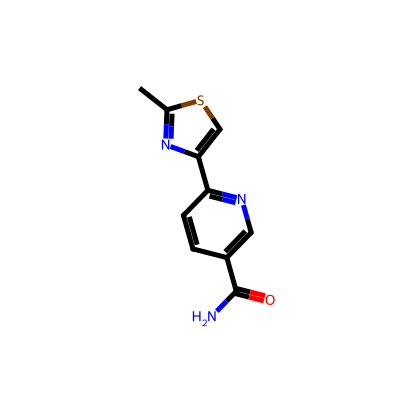 Cc1nc(-c2ccc(C(N)=O)cn2)cs1